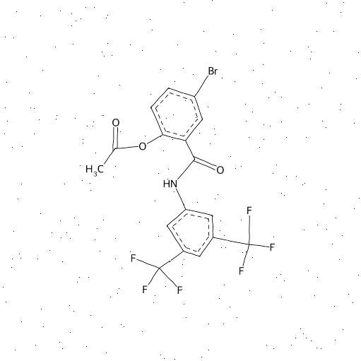 CC(=O)Oc1ccc(Br)cc1C(=O)Nc1cc(C(F)(F)F)cc(C(F)(F)F)c1